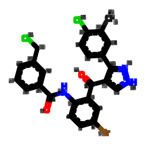 O=C(Nc1ccc(Br)cc1C(=O)c1c[nH]nc1-c1ccc(Cl)c(C(F)(F)F)c1)c1cccc(CCl)c1